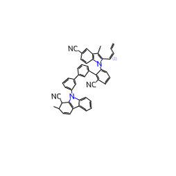 C=C/C=C\c1c(C)c2cc(C#N)ccc2n1-c1cccc(C#N)c1-c1cccc(-c2cccc(-n3c4c(c5ccccc53)C=CC(C)C4C#N)c2)c1